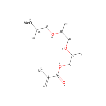 C=C(C#N)C(=O)OCC(C)OCC(C)OCC(C)OC